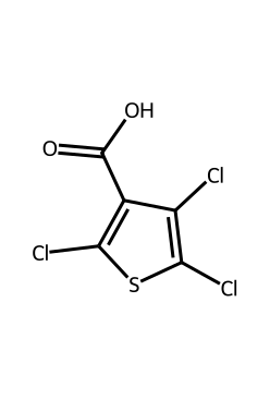 O=C(O)c1c(Cl)sc(Cl)c1Cl